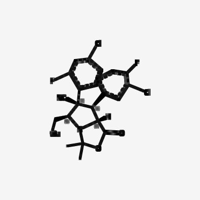 CC(C)(C)C[C@@H]1N2[C@@H](C(=O)OC2(C)C)[C@H](c2ccc(F)c(Cl)c2)[C@@]1(C#N)c1ccc(Cl)cc1F